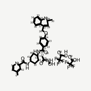 Cc1ccnc(C(=O)N[C@H]2CC[C@](CC(=O)NO)(NC(=O)c3ccc(OCc4cc(C)nc5ccccc45)cc3)CC2)c1.O=C(O)C(F)(F)F.O=C(O)C(F)(F)F